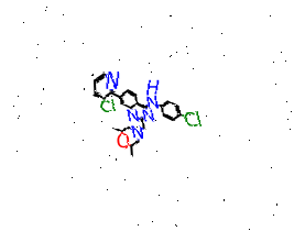 CC1CN(Cc2nc(Nc3ccc(Cl)cc3)c3ccc(-c4ncccc4Cl)cc3n2)CC(C)O1